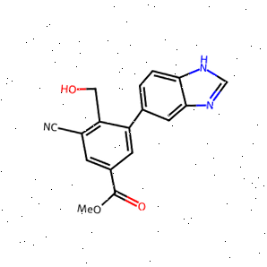 COC(=O)c1cc(C#N)c(CO)c(-c2ccc3[nH]cnc3c2)c1